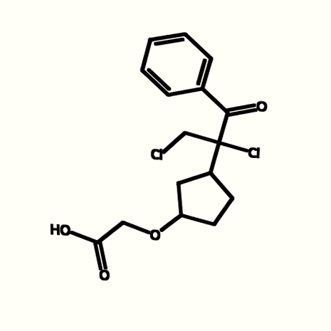 O=C(O)COC1CCC(C(Cl)(CCl)C(=O)c2ccccc2)C1